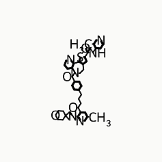 Cc1cnc(N2CC3(CCOCC3)C2)c(C(=O)CCCc2ccc(C(=O)N3CCc4cc(C(=O)Nc5ccncc5C)sc4-c4ncccc43)cc2)c1